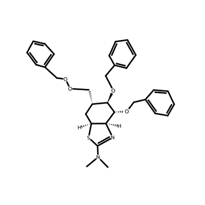 CN(C)C1=N[C@@H]2[C@@H](OCc3ccccc3)[C@H](OCc3ccccc3)[C@@H](COOCc3ccccc3)C[C@@H]2S1